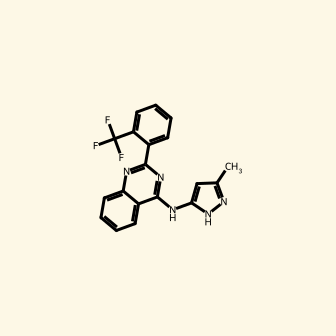 Cc1cc(Nc2nc(-c3ccccc3C(F)(F)F)nc3ccccc23)[nH]n1